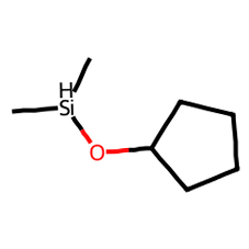 C[SiH](C)OC1CCCC1